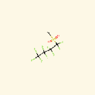 [CH2]S(=O)(=O)C(F)(F)C(F)(F)C(F)(F)C(F)(F)F